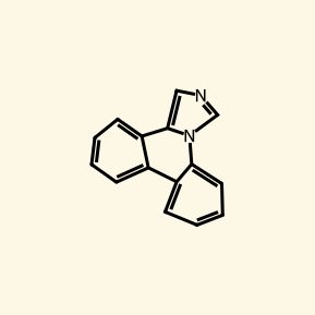 c1ccc2c(c1)c1ccccc1n1cncc21